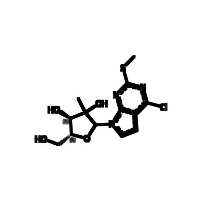 CSc1nc(Cl)c2ccn(C3O[C@H](CO)[C@@H](O)C3(C)O)c2n1